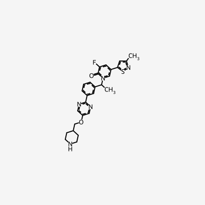 Cc1cc(-c2cc(F)c(=O)n(C(C)c3cccc(-c4ncc(OCC5CCNCC5)cn4)c3)c2)sn1